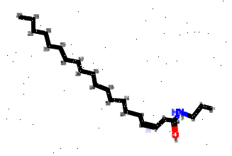 [CH2]CCNC(=O)C/C=C\CCCCCCCCCCCCCCCC